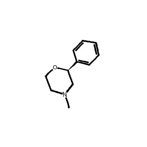 CN1CCO[C@@H](c2ccccc2)C1